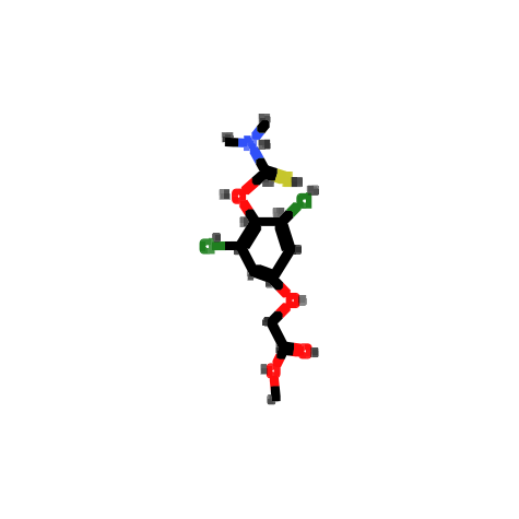 COC(=O)COc1cc(Cl)c(OC(=S)N(C)C)c(Cl)c1